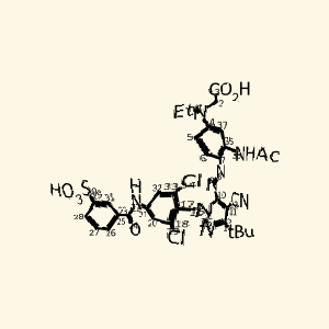 CCN(CC(=O)O)c1ccc(/N=N/c2c(C#N)c(C(C)(C)C)nn2-c2c(Cl)cc(NC(=O)c3cccc(S(=O)(=O)O)c3)cc2Cl)c(NC(C)=O)c1